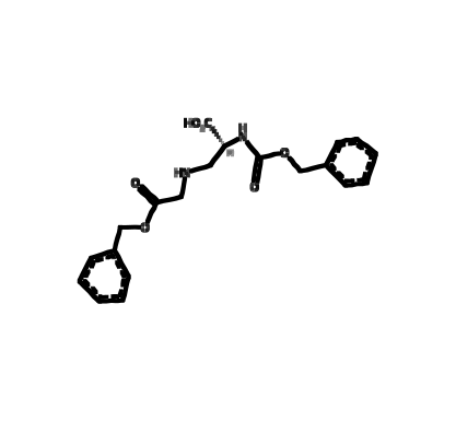 O=C(CNC[C@@H](NC(=O)OCc1ccccc1)C(=O)O)OCc1ccccc1